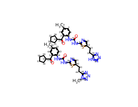 Cc1ccc(NC(=O)Nc2ncc(CCc3nnn[nH]3)s2)c(C(=O)C2CCCC2)c1.Cc1ccc(NC(=O)Nc2ncc(CCc3nnnn3C)s2)c(C(=O)C2CCCC2)c1